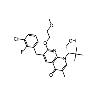 COCCOc1nc2c(cc1Cc1cccc(Cl)c1F)c(=O)c(C)cn2[C@H](CO)C(C)(C)C